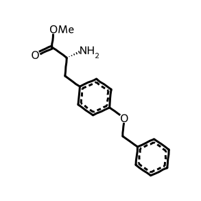 COC(=O)[C@H](N)Cc1ccc(OCc2ccccc2)cc1